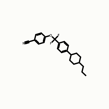 CCCC1CCC(c2ccc(C(F)(F)Oc3ccc(C#N)cc3)cc2)CC1